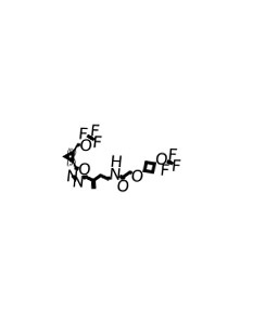 C=C(CCNC(=O)CO[C@H]1C[C@@H](OC(F)(F)F)C1)c1nnc([C@H]2C[C@H]2COC(F)(F)F)o1